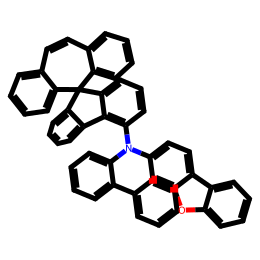 C1=Cc2ccccc2C2(c3ccccc31)c1ccccc1-c1c(N(c3ccc4c(c3)oc3ccccc34)c3ccccc3-c3ccccc3)cccc12